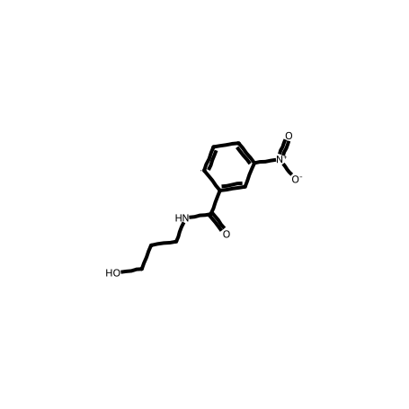 O=C(NCCCO)c1[c]ccc([N+](=O)[O-])c1